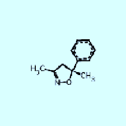 CC1=NO[C@@](C)(c2ccccc2)C1